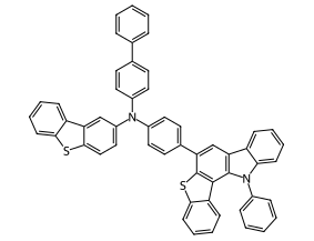 c1ccc(-c2ccc(N(c3ccc(-c4cc5c6ccccc6n(-c6ccccc6)c5c5c4sc4ccccc45)cc3)c3ccc4sc5ccccc5c4c3)cc2)cc1